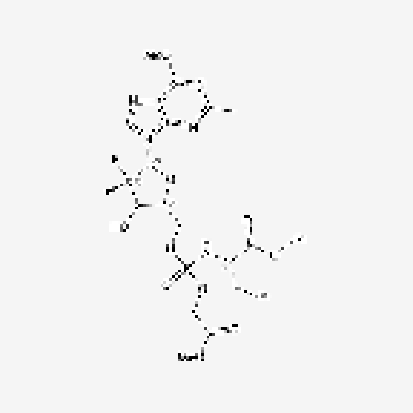 COC(=O)COP(=O)(N[C@@H](CC(C)C)C(=O)OC(C)C)OC[C@H]1O[C@@H](n2cnc3c(OC)nc(C)nc32)[C@@](C)(F)C1O